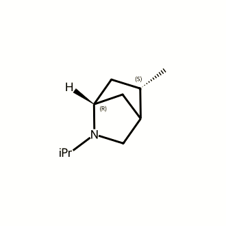 CC(C)N1CC2C[C@H]1C[C@@H]2C